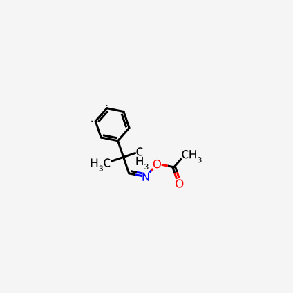 CC(=O)O/N=C\C(C)(C)c1c[c][c]cc1